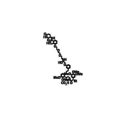 CC[C@H](C(=O)N1CCC(c2c(CCCc3cccc(OCC(O)NCCOCCOCCOc4cccc(C(=O)NC5CCC(=O)NC5=O)c4CO)c3)ccc(OC)c2OC)C[C@H]1C(=O)O)c1cc(OC)c(OC)c(OC)c1